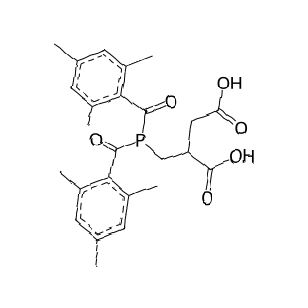 Cc1cc(C)c(C(=O)P(CC(CC(=O)O)C(=O)O)C(=O)c2c(C)cc(C)cc2C)c(C)c1